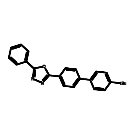 CC(C)(C)c1ccc(-c2ccc(-c3nnc(-c4ccccc4)o3)cc2)cc1